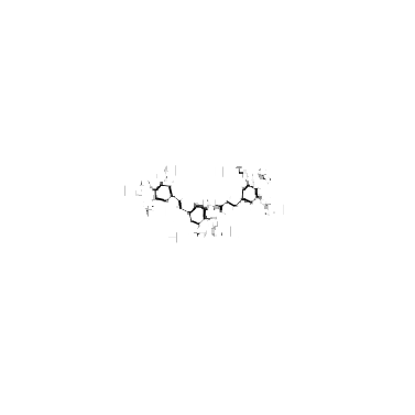 COc1cc(C=Cc2cc(OC)c(OC)c(OC)c2)cc(NC(=O)/C=C/c2cc(OC)c(OC)c(OC)c2)c1OC